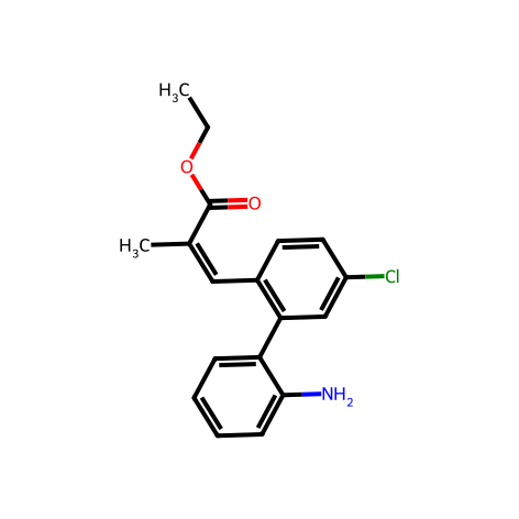 CCOC(=O)C(C)=Cc1ccc(Cl)cc1-c1ccccc1N